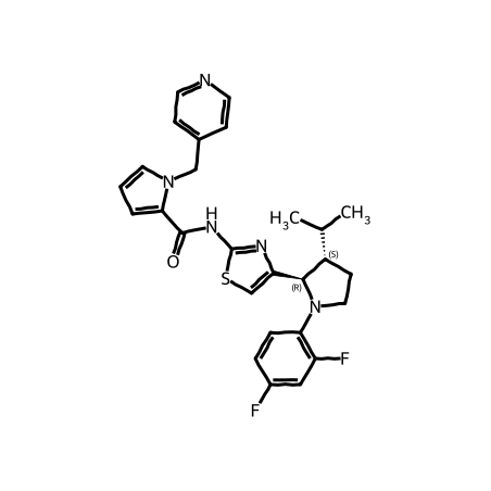 CC(C)[C@@H]1CCN(c2ccc(F)cc2F)[C@H]1c1csc(NC(=O)c2cccn2Cc2ccncc2)n1